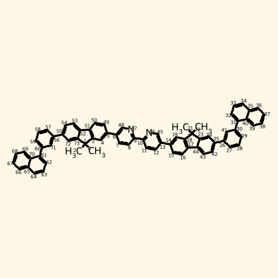 CC1(C)c2cc(-c3ccc(-c4ccc(-c5ccc6c(c5)C(C)(C)c5cc(-c7cccc(-c8cccc9ccccc89)c7)ccc5-6)cn4)nc3)ccc2-c2ccc(-c3cccc(-c4cccc5ccccc45)c3)cc21